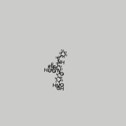 O=C(NO)c1ccc(CC(=O)N2CCC(CNC3CC3c3ccccc3)CC2)cc1.O=C(O)C(F)(F)F